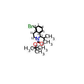 CC(C)C1c2cccc(Br)c2CCN1C(=O)OC(C)(C)C